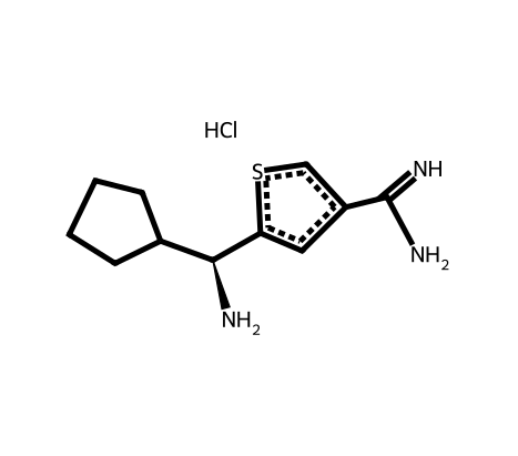 Cl.N=C(N)c1csc([C@@H](N)C2CCCC2)c1